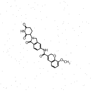 COc1cccc2c1OCC(C(=O)Nc1ccc3c(c1)CN(C1CCC(=O)NC1=O)C3=O)=C2